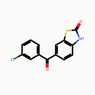 O=C(c1cccc(Cl)c1)c1ccc2[nH]c(=O)sc2c1